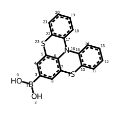 OB(O)c1cc2c3c(c1)Sc1ccccc1N3c1ccccc1S2